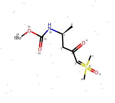 C[C@@H](CC(=O)C=S(C)(C)=O)NC(=O)OC(C)(C)C